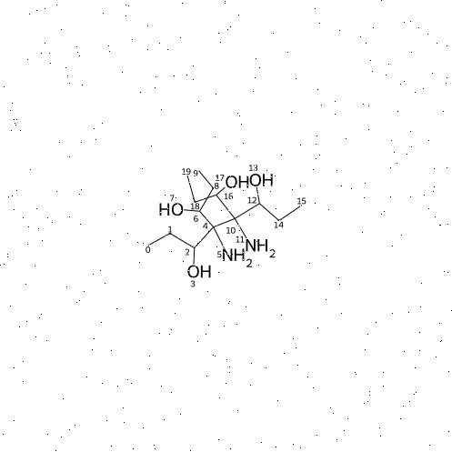 CCC(O)C(N)(C(O)CC)C(N)(C(O)CC)C(O)CC